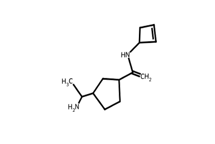 C=C(NC1C=CC1)C1CCC(C(C)N)C1